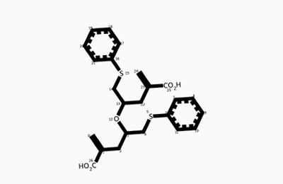 C=C(CC(CSc1ccccc1)OC(CSc1ccccc1)CC(=C)C(=O)O)C(=O)O